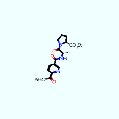 CCOC(=O)[C@@H]1CCCN1C(=O)[C@H](C)NC(=O)c1ccc(C(=O)OC)nc1